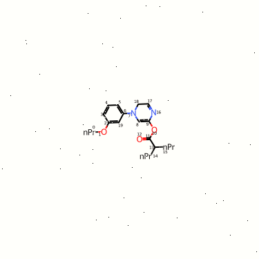 CCCOc1cccc(N2C=C(OC(=O)C(CCC)CCC)N=CC2)c1